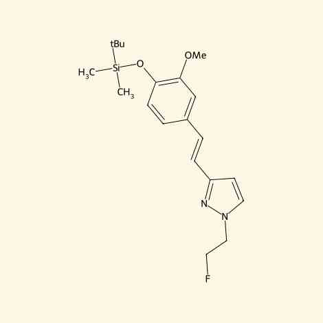 COc1cc(/C=C/c2ccn(CCF)n2)ccc1O[Si](C)(C)C(C)(C)C